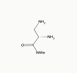 CNC(=O)[C@@H](N)CN